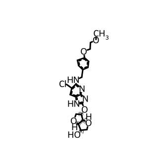 COCCOc1ccc(CNc2nc3nc(O[C@@H]4CO[C@H]5[C@@H]4OC[C@H]5O)[nH]c3cc2Cl)cc1